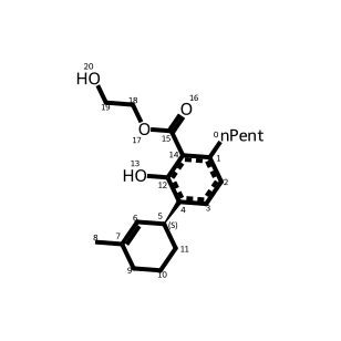 CCCCCc1ccc([C@@H]2C=C(C)CCC2)c(O)c1C(=O)OCCO